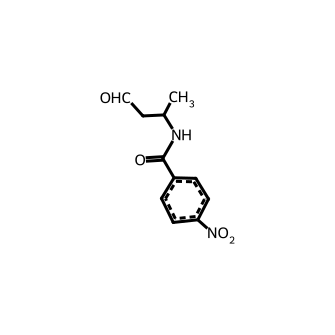 CC(CC=O)NC(=O)c1ccc([N+](=O)[O-])cc1